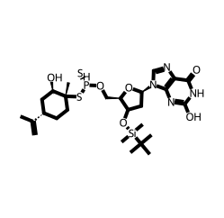 C=C(C)[C@H]1CC[C@@](C)(S[PH](=S)OC[C@H]2O[C@@H](n3cnc4c(=O)[nH]c(O)nc43)CC2O[Si](C)(C)C(C)(C)C)[C@H](O)C1